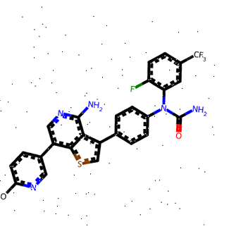 COc1ccc(-c2cnc(N)c3c(-c4ccc(N(C(N)=O)c5cc(C(F)(F)F)ccc5F)cc4)csc23)cn1